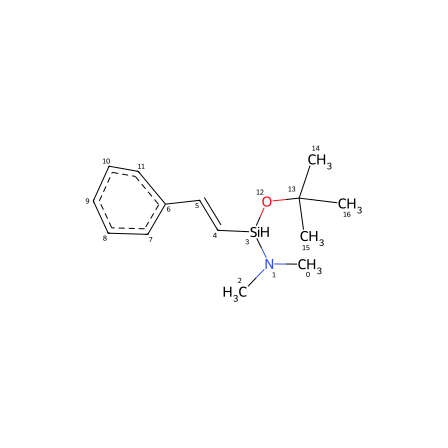 CN(C)[SiH](C=Cc1ccccc1)OC(C)(C)C